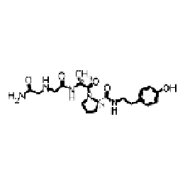 C[C@H](NC(=O)CNCC(N)=O)C(=O)N1CCC[C@H]1C(=O)NCCc1ccc(O)cc1